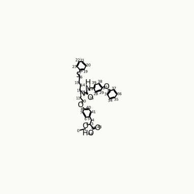 CCOC(Cc1ccc(OCCN(CCCCSc2ccccc2)C(=O)Nc2ccc(Oc3ccccc3)cc2)cc1)C(=O)O